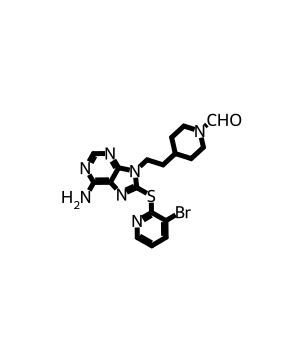 Nc1ncnc2c1nc(Sc1ncccc1Br)n2CCC1CCN(C=O)CC1